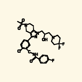 CS(=O)(=O)N1CCc2c(c(-c3ccc(Cl)c(CNC(=O)c4ccc(F)cc4)c3)nn2CC(O)CN2CCC(F)(F)CC2)C1